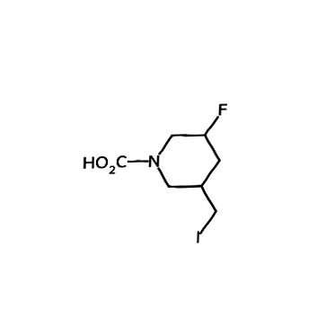 O=C(O)N1CC(F)CC(CI)C1